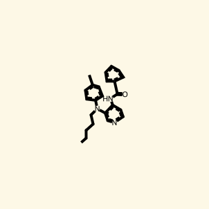 CCCCCN(c1ccc(C)cc1)c1cnccc1NC(=O)c1ccccc1